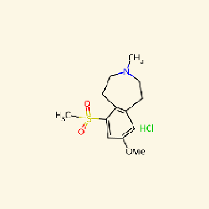 COc1cc2c(c(S(C)(=O)=O)c1)CCN(C)CC2.Cl